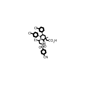 CCC(CNS(=O)(=O)c1ccc(C#N)cc1)N1C(=O)[C@@](C)(CC(=O)O)C[C@H](c2cccc(Cl)c2)[C@H]1c1ccc(Cl)cc1